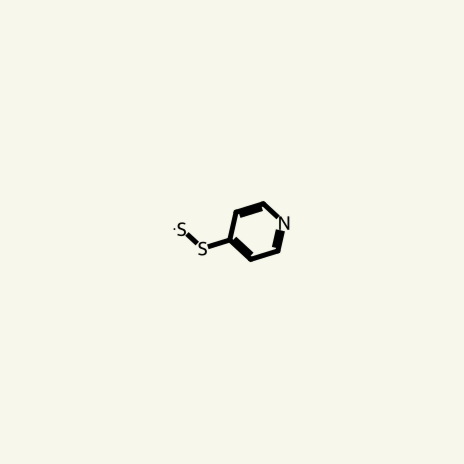 [S]Sc1ccncc1